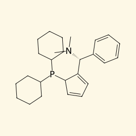 CN(C)[C@@H](C1=CC=CC1P(C1CCCCC1)C1CCCCC1)c1ccccc1